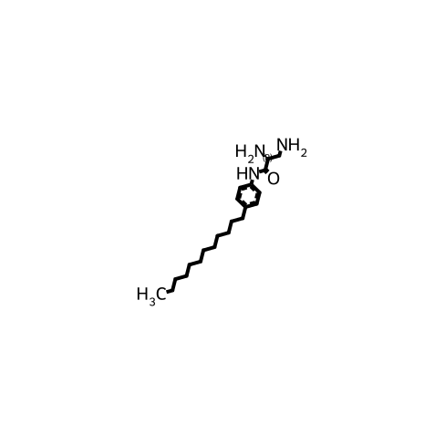 CCCCCCCCCCCCc1ccc(NC(=O)[C@H](N)CN)cc1